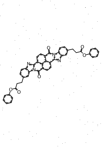 O=C(CCc1ccc2c(c1)nc1c3ccc4c(=O)n5c6cc(CCC(=O)Oc7ccccc7)ccc6nc5c5ccc(c(=O)n21)c3c45)Oc1ccccc1